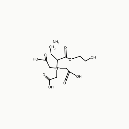 CCC(C(=O)OCCO)[N+](CC(=O)O)(CC(=O)O)CC(=O)O.N